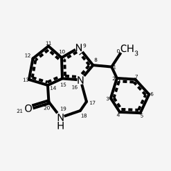 CC(c1ccccc1)c1nc2cccc3c2n1CCNC3=O